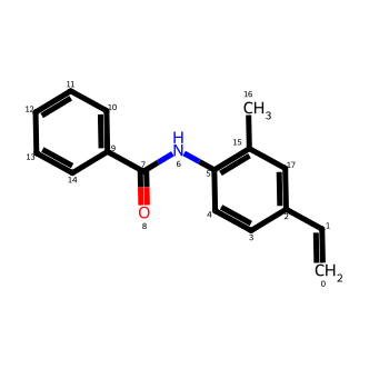 C=Cc1ccc(NC(=O)c2ccccc2)c(C)c1